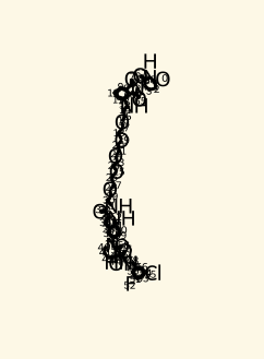 O=C1CCC(N2C(=O)c3cccc(NCCOCCOCCOCCOCCOCCNC(=O)c4cc5cc(N6CCCC(O)(C(=O)NCc7cc(F)cc(Cl)c7)C6=O)ccc5[nH]4)c3C2=O)C(=O)N1